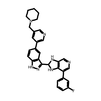 Fc1cccc(-c2cncc3c2NC(c2n[nH]c4ccc(-c5cncc(CN6CCCCC6)c5)cc24)N3)c1